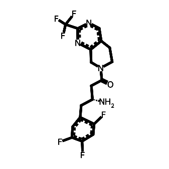 N[C@@H](CC(=O)N1CCc2cnc(C(F)(F)F)nc2C1)Cc1cc(F)c(F)cc1F